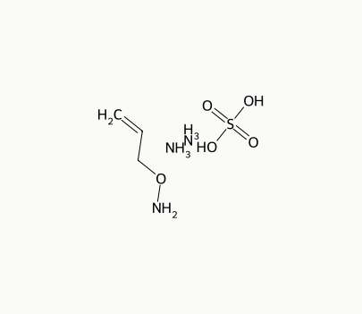 C=CCON.N.N.O=S(=O)(O)O